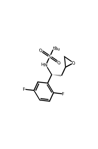 CC(C)(C)S(=O)(=O)N[C@H](CC1CO1)c1cc(F)ccc1F